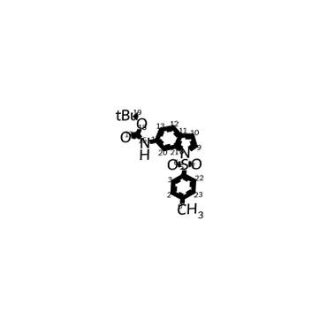 Cc1ccc(S(=O)(=O)n2ccc3ccc(NC(=O)OC(C)(C)C)cc32)cc1